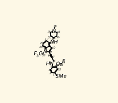 CSc1ccc(NCC#Cc2cc3c(NC4CCN(C)CC4)cccc3n2CC(F)(F)F)c(OCF)c1